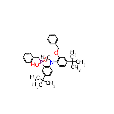 CN(c1ccc(C(C)(C)C)cc1OCc1ccccc1)c1ccc(C(C)(C)C)cc1P(=O)(O)Cc1ccccc1